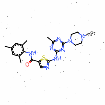 CCCN1CCN(c2nc(C)nc(Nc3ncc(C(=O)Nc4c(C)cc(C)cc4C)s3)n2)CC1